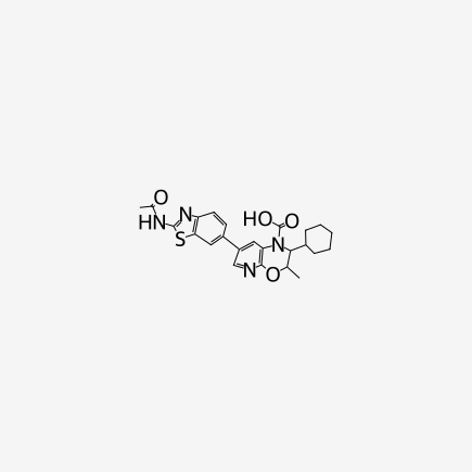 CC(=O)Nc1nc2ccc(-c3cnc4c(c3)N(C(=O)O)C(C3CCCCC3)C(C)O4)cc2s1